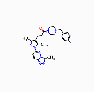 Cc1nn(-c2ccc3nnc(C)n3n2)c(C)c1CCC(=O)N1CCN(Cc2ccc(I)cc2)CC1